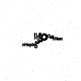 CCCCCCCCCOCOC1CCC(CCCSC(=O)CCCCCCC)[SiH2]N(C)CC1